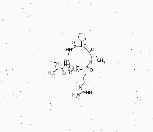 CC[C@@H]1NC(=O)[C@H](CCCNC(=N)N)NC(=O)[C@](C)(NC(=O)C(C)C)CCNC(=O)C(C2CCCC2)NC1=O